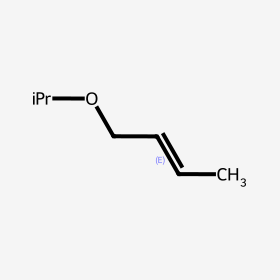 C/C=C/COC(C)C